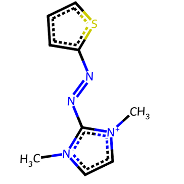 Cn1cc[n+](C)c1N=Nc1cccs1